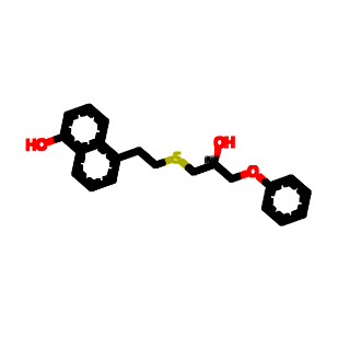 Oc1cccc2c(CCSC[C@@H](O)COc3ccccc3)cccc12